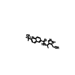 CC(NC(=O)c1ccc2nc(C(C)(C)C(F)(F)F)ccc2c1)c1cnn(C)c1CO